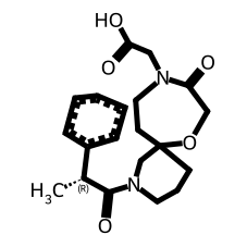 C[C@@H](C(=O)N1CCCC2(CCN(CC(=O)O)C(=O)CO2)C1)c1ccccc1